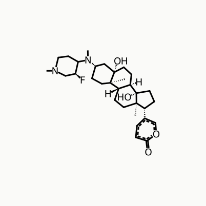 CN1CCC(N(C)[C@H]2CC[C@]3(C)[C@H]4CC[C@]5(C)[C@@H](c6ccc(=O)oc6)CC[C@]5(O)[C@@H]4CC[C@]3(O)C2)[C@@H](F)C1